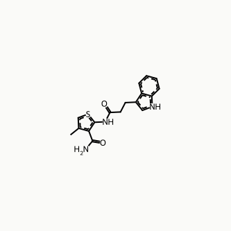 Cc1csc(NC(=O)CCc2c[nH]c3ccccc23)c1C(N)=O